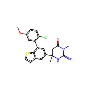 COc1ccc(Cl)c(-c2cc(C3(C)CC(=O)N(C)C(=N)N3)cc3ccsc23)c1